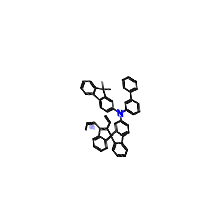 C=CC1=C(/C=C\C)c2ccccc2C12c1ccccc1-c1ccc(N(c3cccc(-c4ccccc4)c3)c3ccc4c(c3)C(C)(C)c3ccccc3-4)cc12